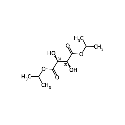 CC(C)OC(=O)[C@@H](O)[C@H](O)C(=O)OC(C)C